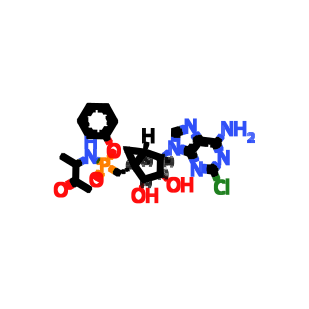 CC(=O)C(C)NP(=O)(C[C@]12C[C@@H]1[C@@H](n1cnc3c(N)nc(Cl)nc31)[C@H](O)[C@@H]2O)Oc1ccccc1